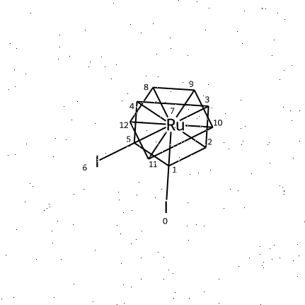 I[C]12[CH]3[CH]4[CH]5[C]1(I)[Ru]43521678[CH]2[CH]1[CH]6[CH]7[CH]28